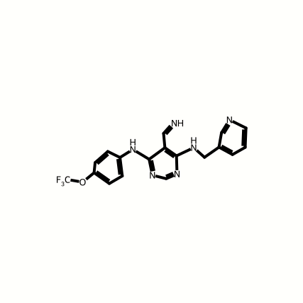 N=Cc1c(NCc2cccnc2)ncnc1Nc1ccc(OC(F)(F)F)cc1